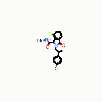 CC(CN1C(=O)c2cccc(F)c2C1C(=O)NC(C)(C)C)c1ccc(Cl)cc1